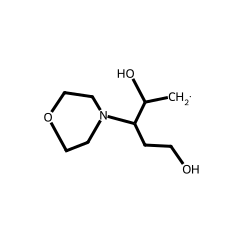 [CH2]C(O)C(CCO)N1CCOCC1